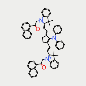 CC1(C)C(/C=C/C2=C(N(c3ccccc3)c3ccccc3)C(=C/C=C3/N(CC(=O)c4cccc5ccccc45)c4ccccc4C3(C)C)/CC2)=[N+](CC(=O)c2cccc3ccccc23)c2ccccc21